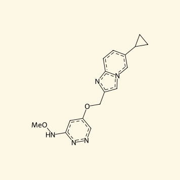 CONc1cc(OCc2cn3cc(C4CC4)ccc3n2)cnn1